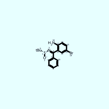 CC(C)(C)[S@@+]([O-])/N=C(\c1ccccc1)c1cc(Br)ccc1N